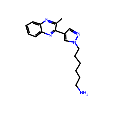 Cc1nc2ccccc2nc1-c1cnn(CCCCCCN)c1